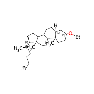 CCO[C@H]1CCC2(C)C3CCC4(C)C(CC[C@@H]4[C@H](C)CCCC(C)C)C3CC[C@H]2C1